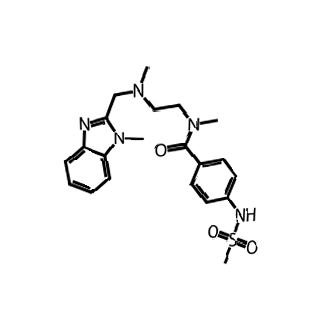 CN(CCN(C)C(=O)c1ccc(NS(C)(=O)=O)cc1)Cc1nc2ccccc2n1C